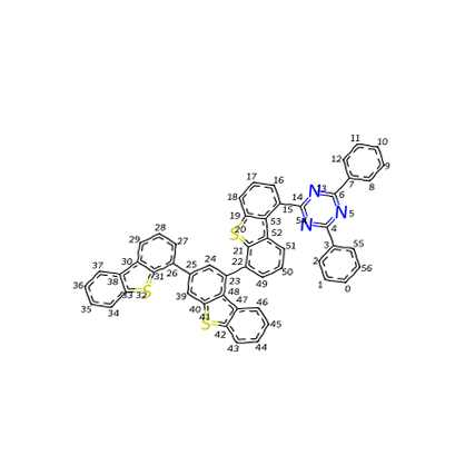 c1ccc(-c2nc(-c3ccccc3)nc(-c3cccc4sc5c(-c6cc(-c7cccc8c7sc7ccccc78)cc7sc8ccccc8c67)cccc5c34)n2)cc1